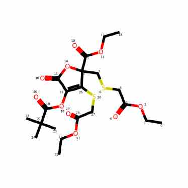 CCOC(=O)CSCC1(C(=O)OCC)OC(=O)C(OC(=O)C(C)(C)C)=C1SCC(=O)OCC